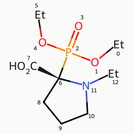 CCOP(=O)(OCC)[C@@]1(C(=O)O)CCCN1CC